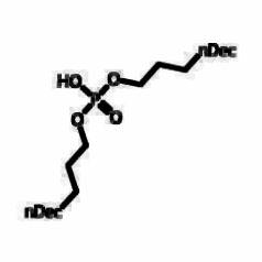 CCCCCCCCCCCCCOP(=O)(O)OCCCCCCCCCCCCC